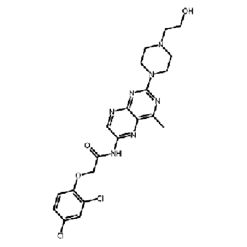 Cc1nc(N2CCN(CCO)CC2)nc2ncc(NC(=O)COc3ccc(Cl)cc3Cl)nc12